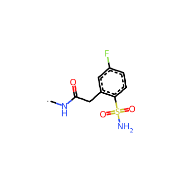 [CH2]NC(=O)Cc1cc(F)ccc1S(N)(=O)=O